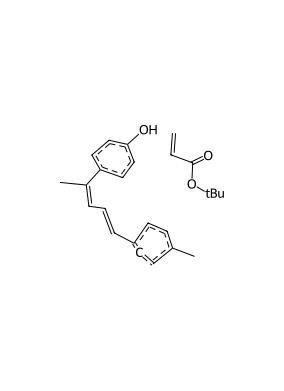 C=CC(=O)OC(C)(C)C.CC(=CC=Cc1ccc(C)cc1)c1ccc(O)cc1